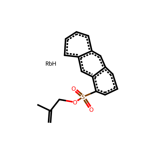 C=C(C)COS(=O)(=O)c1cccc2cc3ccccc3cc12.[RbH]